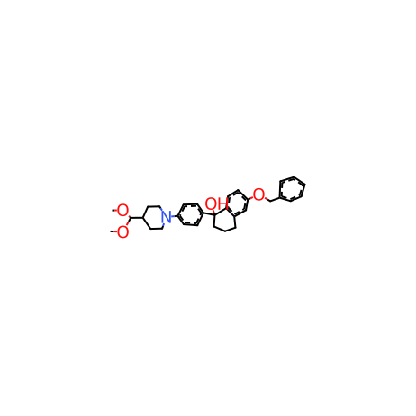 COC(OC)C1CCN(c2ccc(C3(O)CCCc4cc(OCc5ccccc5)ccc43)cc2)CC1